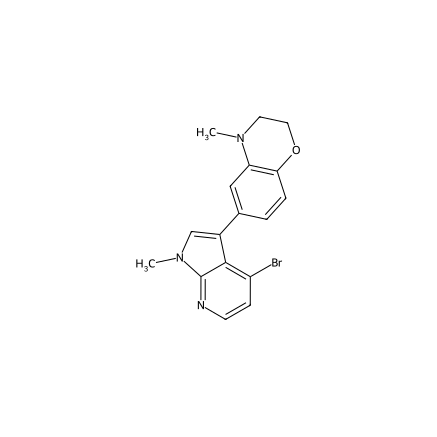 CN1CCOc2ccc(-c3cn(C)c4nccc(Br)c34)cc21